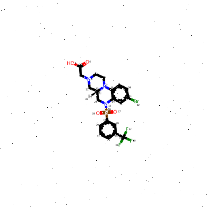 O=C(O)CN1CCN2c3ccc(Br)cc3N(S(=O)(=O)c3cccc(C(F)(F)F)c3)C[C@@H]2C1